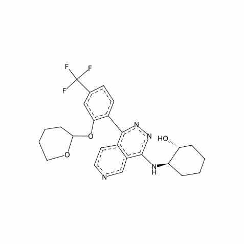 O[C@@H]1CCCC[C@H]1Nc1nnc(-c2ccc(C(F)(F)F)cc2OC2CCCCO2)c2ccncc12